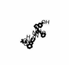 CC(C)(C)OC(=O)N[C@@H]1c2ccccc2CC12CCN(c1cnc3c(N4CCCc5cc(O)ccc54)nn(C4CCCCO4)c3n1)CC2